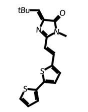 CN1C(=O)/C(=C/C(C)(C)C)N=C1/C=C/c1ccc(-c2cccs2)s1